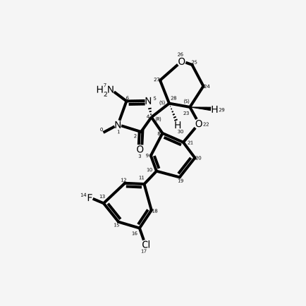 CN1C(=O)[C@]2(N=C1N)c1cc(-c3cc(F)cc(Cl)c3)ccc1O[C@H]1CCOC[C@@H]12